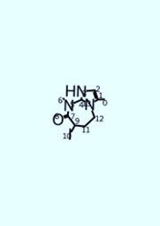 CC1=CNC2N(C)C(=O)C(I)CCN12